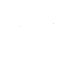 c1ccc2c(c1)ccc1ncccc12.c1ccc2ncccc2c1